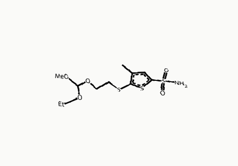 CCOC(OC)OCCSc1sc(S(N)(=O)=O)cc1C